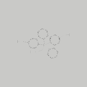 CCP(c1ccccc1)(c1ccccc1)(c1ccc(O)cc1)c1ccc(O)cc1